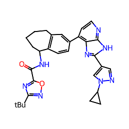 CC(C)(C)c1noc(C(=O)NC2CCCCc3cc(-c4ccnc5[nH]c(-c6cnn(C7CC7)c6)nc45)ccc32)n1